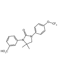 CC1(C)CN(c2ccc(OC(F)(F)F)cc2)C(=O)N1c1cccc(C(=O)O)c1